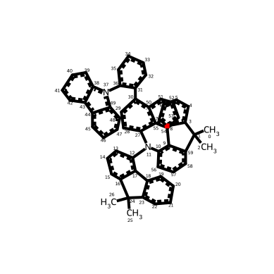 CC1(C)c2ccccc2-c2c(N(c3cccc4c3-c3ccccc3C4(C)C)c3ccc(-c4ccccc4-n4c5ccccc5c5ccccc54)c4ccccc34)cccc21